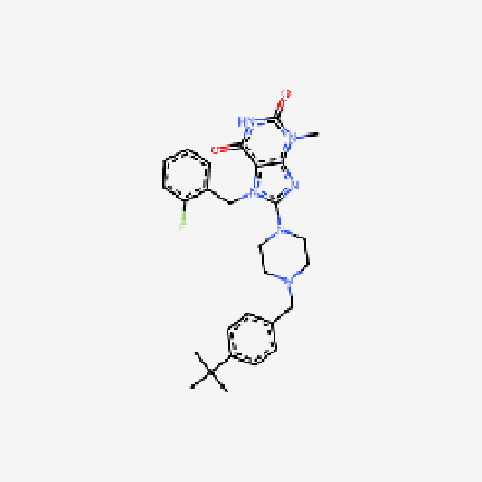 Cn1c(=O)[nH]c(=O)c2c1nc(N1CCN(Cc3ccc(C(C)(C)C)cc3)CC1)n2Cc1ccccc1F